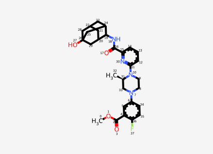 COC(=O)c1cc(N2CCN(c3cccc(C(=O)NC4C5CC6CC4CC(O)(C6)C5)n3)[C@H](C)C2)ccc1F